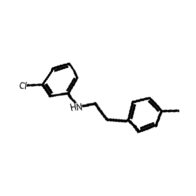 Cc1ccc(CCNc2cccc(Cl)c2)cc1